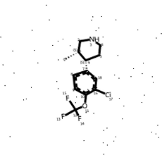 C[C@@H]1CNCC[C@@H]1c1ccc(OC(F)(F)F)c(Cl)c1